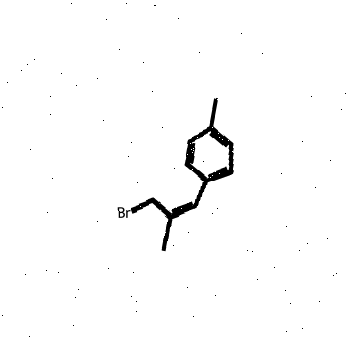 CC(=Cc1ccc(C)cc1)CBr